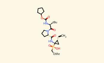 C=C[C@@H]1C[C@]1(NC(=O)[C@@H]1CCCN1C(=O)[C@@H](NC(=O)OC1CCCC1)C(C)(C)C)P(=O)(O)COC